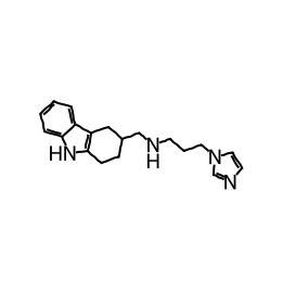 c1ccc2c3c([nH]c2c1)CCC(CNCCCn1ccnc1)C3